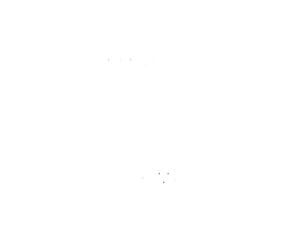 CCOC(=O)CC1c2ccc(OC)cc2CC1C